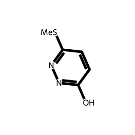 CSc1ccc(O)nn1